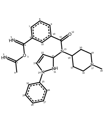 CC(=N)OC(=N)c1cccc(C(=O)N(C2CCN(C)CC2)C2C=CN(c3ccccc3)N2)c1